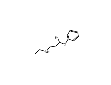 CCNCCC(Br)Oc1ccccc1